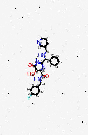 Cn1c(C(NCc2cccnc2)c2ccccc2)nc(C(=O)NCc2ccc(F)cc2)c(O)c1=O